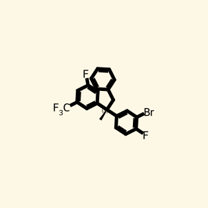 C[C@](Cc1ccccc1)(c1cc(F)cc(C(F)(F)F)c1)c1ccc(F)c(Br)c1